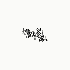 CCn1c(CN(C=O)c2nc3cc[nH]c3nc2N)[n+](CC)c2ccc(C(=O)NCCN(C[C@H](O)[C@@H](O)[C@H](O)[C@H](O)CO)C[C@H](O)[C@@H](O)[C@H](O)[C@H](O)CO)cc21